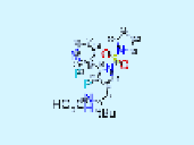 CC(C)(C)C(Cc1cn(S(=O)(=O)N2CCCC2)c(-c2cccnc2F)c1F)NC(=O)O